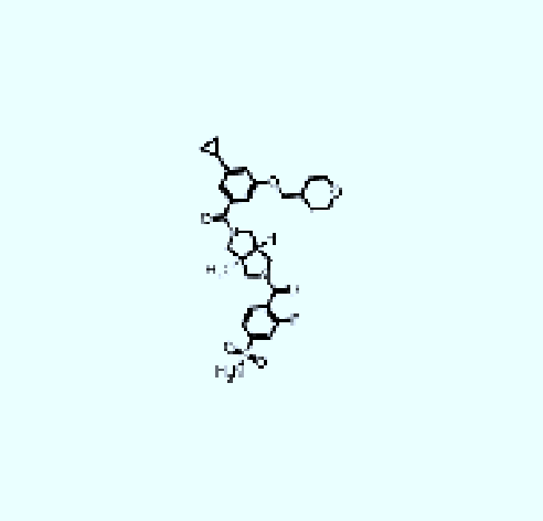 C[C@]12CN(C(=O)c3cc(OCC4CCOCC4)cc(C4CC4)c3)C[C@@H]1CN(C(=O)c1ccc(S(N)(=O)=O)cc1F)C2